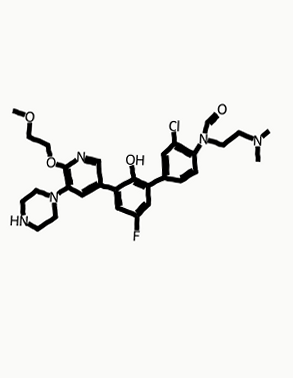 COCCOc1ncc(-c2cc(F)cc(-c3ccc(N(C=O)CCN(C)C)c(Cl)c3)c2O)cc1N1CCNCC1